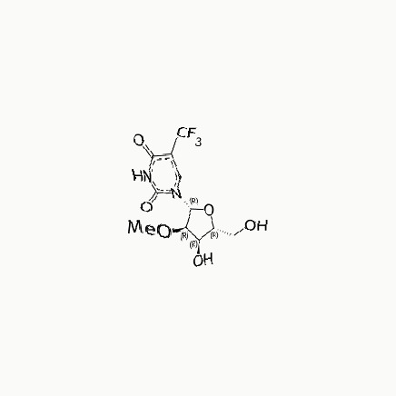 CO[C@@H]1[C@H](O)[C@@H](CO)O[C@H]1n1cc(C(F)(F)F)c(=O)[nH]c1=O